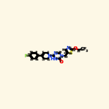 O=C1NC(N2CC=C(c3ccc(F)cc3)CC2)N=CN1Cc1cnc(OCC(F)(F)F)s1